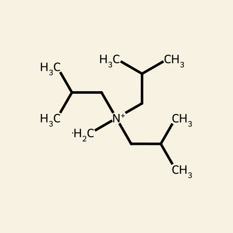 [CH2][N+](CC(C)C)(CC(C)C)CC(C)C